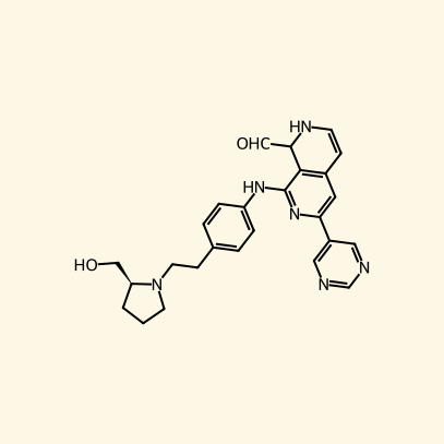 O=CC1NC=Cc2cc(-c3cncnc3)nc(Nc3ccc(CCN4CCC[C@H]4CO)cc3)c21